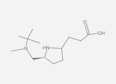 CN(C[C@@H]1CCC(CCC(=O)O)N1)C(C)(C)C